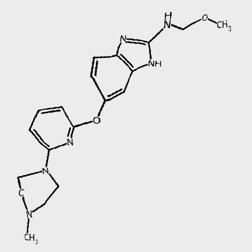 COCNc1nc2ccc(Oc3cccc(N4CCN(C)CC4)n3)cc2[nH]1